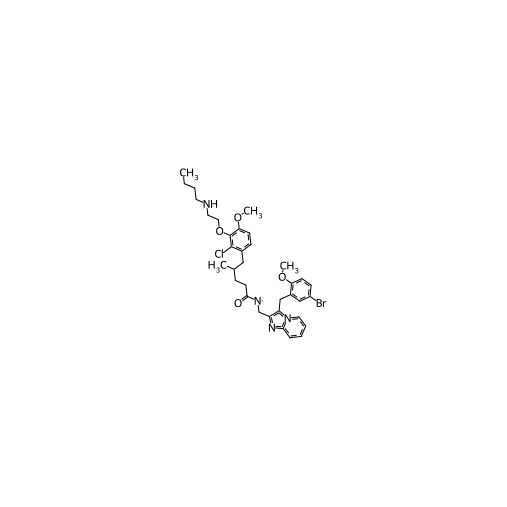 CCCCNCCOc1c(OC)ccc(CC(C)CCC(=O)[N]Cc2nc3ccccn3c2Cc2cc(Br)ccc2OC)c1Cl